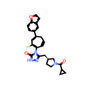 O=C(C1CC1)N1CC[C@@H](Cc2n[nH]c(=O)n2C2=C(F)C=C(c3ccc4occc4c3)CC#C2)C1